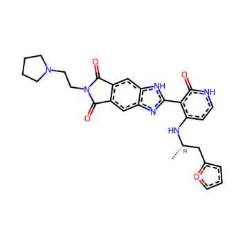 C[C@@H](Cc1ccco1)Nc1cc[nH]c(=O)c1-c1nc2cc3c(cc2[nH]1)C(=O)N(CCN1CCCC1)C3=O